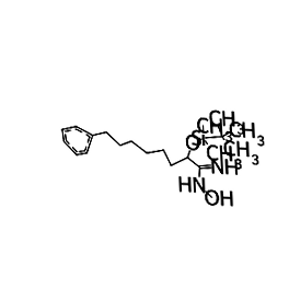 CC(C)(C)[Si](C)(C)OC(CCCCCCc1ccccc1)C(=N)NO